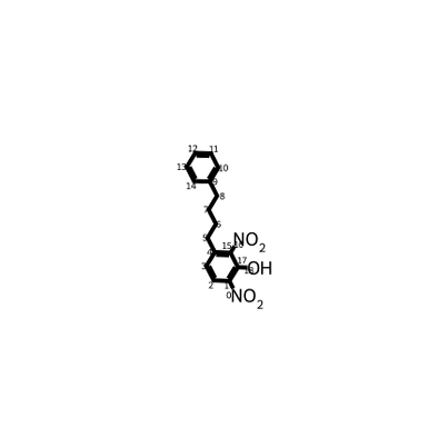 O=[N+]([O-])c1ccc(CCCCc2ccccc2)c([N+](=O)[O-])c1O